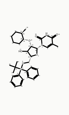 Cc1cn([C@@H]2O[C@H](CO[Si](c3ccccc3)(c3ccccc3)C(C)(C)C)C(O)[C@@H]2O[C@@H]2CCCC[C@H]2I)c(=O)[nH]c1=O